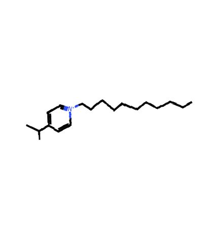 CCCCCCCCCCC[n+]1ccc(C(C)C)cc1